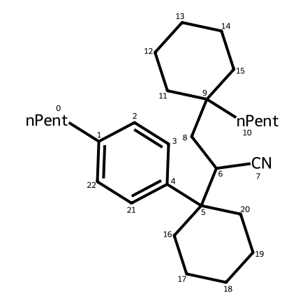 CCCCCc1ccc(C2(C(C#N)CC3(CCCCC)CCCCC3)CCCCC2)cc1